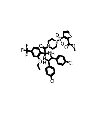 CCOc1cc(C(F)(F)F)ccc1C1(C(=O)N2CCN(S(=O)(=O)c3ccsc3C(=O)OC)CC2)NC(c2ccc(Cl)cc2)C(c2ccc(Cl)cc2)N1